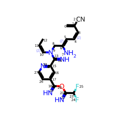 C=C(C#N)/C=C\C=C(/N)CN(/C=C\C)C(=N)c1cc(C(=N)OC(=N)C(F)F)ccn1